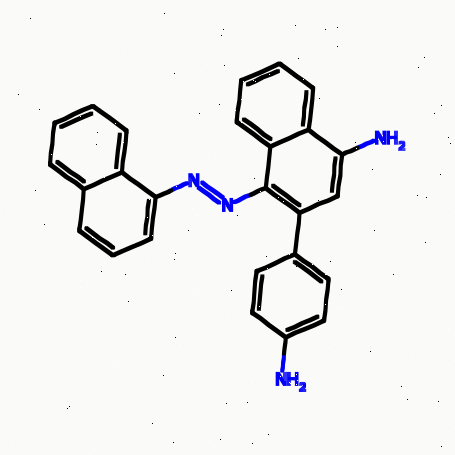 Nc1ccc(-c2cc(N)c3ccccc3c2N=Nc2cccc3ccccc23)cc1